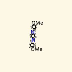 COc1ccc(/C=N/c2ccc(/N=C/c3ccc(OC)cc3)cc2)cc1